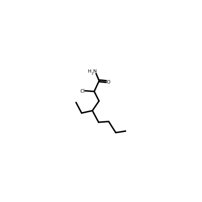 CCCCC(CC)CC(Cl)C(N)=O